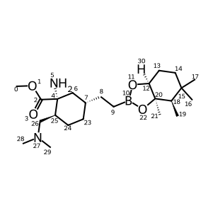 COC(=O)[C@@]1(N)C[C@H](CCB2O[C@H]3CCC(C)(C)[C@@H](C)[C@@]3(C)O2)CC[C@H]1CN(C)C